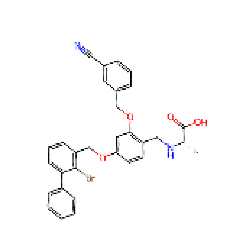 C[C@H](NCc1ccc(OCc2cccc(-c3ccccc3)c2Br)cc1OCc1cccc(C#N)c1)C(=O)O